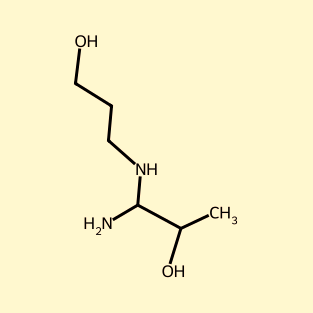 CC(O)C(N)NCCCO